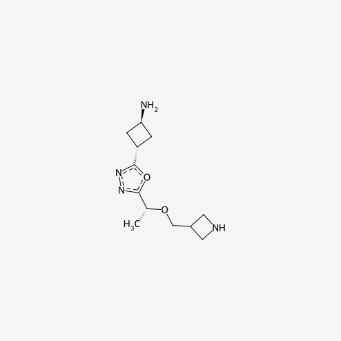 C[C@@H](OCC1CNC1)c1nnc([C@H]2C[C@H](N)C2)o1